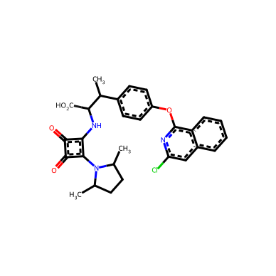 CC(c1ccc(Oc2nc(Cl)cc3ccccc23)cc1)C(Nc1c(N2C(C)CCC2C)c(=O)c1=O)C(=O)O